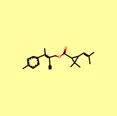 C#C/C(COC(=O)C1C(C=C(C)C)C1(C)C)=C(/C)c1ccc(C)cc1